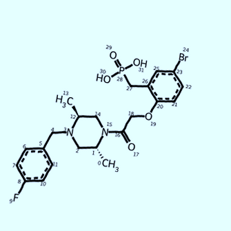 C[C@@H]1CN(Cc2ccc(F)cc2)[C@@H](C)CN1C(=O)COc1ccc(Br)cc1CP(=O)(O)O